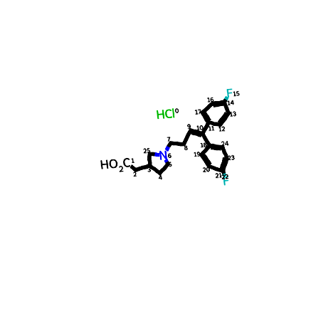 Cl.O=C(O)CC1CCN(CCC=C(c2ccc(F)cc2)c2ccc(F)cc2)C1